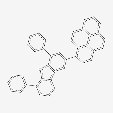 c1ccc(-c2cccc3c2oc2c(-c4ccccc4)cc(-c4ccc5ccc6cccc7ccc4c5c67)cc23)cc1